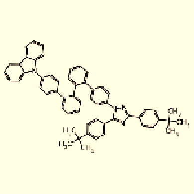 CC(C)(C)c1ccc(-c2nc(-c3ccc(C(C)(C)C)cc3)n(-c3ccc(-c4ccccc4-c4ccccc4-c4ccc(-n5c6ccccc6c6ccccc65)cc4)cc3)n2)cc1